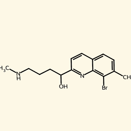 CNCCCC(O)c1ccc2ccc(C)c(Br)c2n1